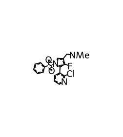 CNCc1cn(S(=O)(=O)c2ccccc2)c(-c2cccnc2Cl)c1F